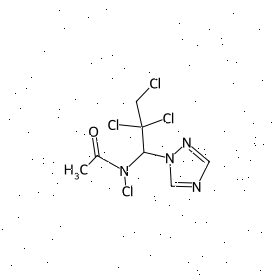 CC(=O)N(Cl)C(n1cncn1)C(Cl)(Cl)CCl